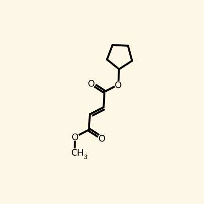 COC(=O)/C=C/C(=O)OC1CCCC1